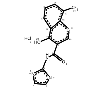 Cl.O=C(Nc1ncc[nH]1)c1cnc2c(C(F)(F)F)cccc2c1O